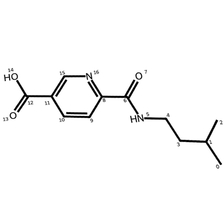 CC(C)CCNC(=O)c1ccc(C(=O)O)cn1